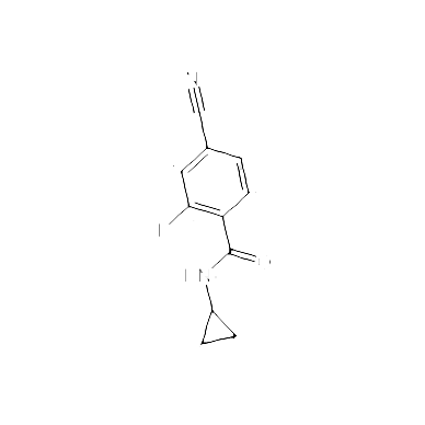 N#Cc1ccc(C(=O)NC2CC2)c(F)c1